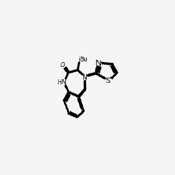 CCC(C)C1C(=O)Nc2ccccc2CN1c1nccs1